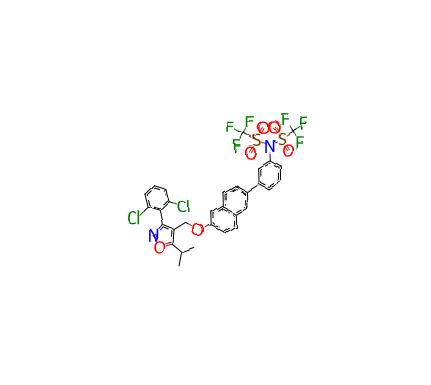 CC(C)c1onc(-c2c(Cl)cccc2Cl)c1COc1ccc2cc(-c3cccc(N(S(=O)(=O)C(F)(F)F)S(=O)(=O)C(F)(F)F)c3)ccc2c1